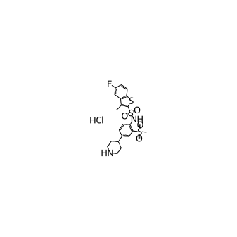 Cc1c(S(=O)(=O)Nc2ccc(C3CCNCC3)cc2S(C)(=O)=O)sc2ccc(F)cc12.Cl